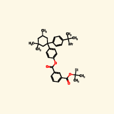 CCCC(C)(C)c1ccc(C2(c3ccc(OC(=O)c4cccc(C(=O)OC(C)(C)CC)c4)cc3)CC(C)CC(C)(C)C2)cc1